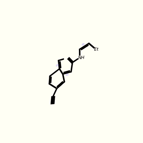 C#Cc1ccc(=C/C)/c(=C\C(=C)N/C=C\CC)c1